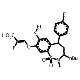 CCCCC1CC(c2ccc(F)cc2)c2cc(SCC)c(O/C=C(\F)C(=O)O)cc2S(=O)(=O)N1C